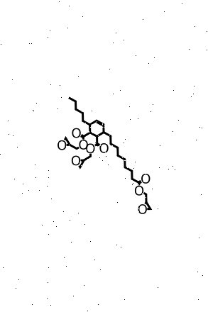 CCCCCC1C=CC(CCCCCCCCC(=O)OCC2CO2)C(C(=O)OCC2CO2)C1C(=O)OCC1CO1